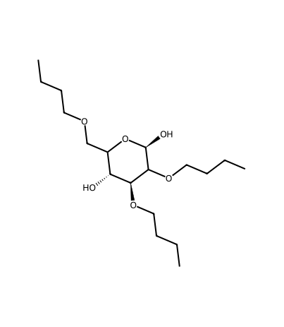 CCCCOCC1O[C@@H](O)C(OCCCC)[C@@H](OCCCC)[C@@H]1O